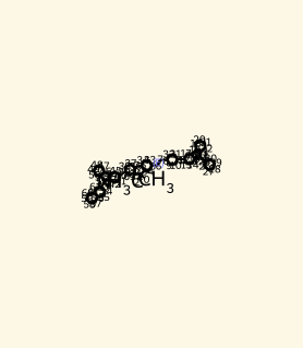 CC1(C)c2cc(/C=C/c3ccc(-c4ccc5c(c4)c4ccccc4n5-c4ccccc4)cc3)ccc2-c2ccc(-c3ccc4c(c3)c3ccccc3n4-c3ccc4ccccc4c3)cc21